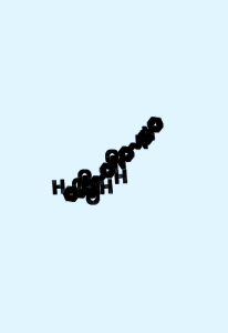 Cn1c(=O)c(=CCc2ccc(C(=O)Nc3ccc(CCN4CCN(c5ccccc5)CC4)cc3)cc2)[nH]c(=O)c1=Cc1ccccc1